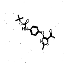 CC(=O)c1sc(C)nc1Oc1ccc(NC(=O)OC(C)(C)C)cc1